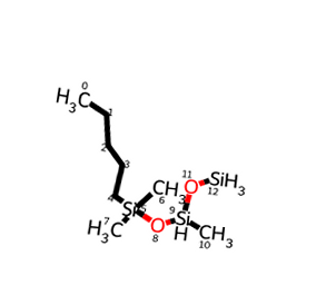 CCCCC[Si](C)(C)O[SiH](C)O[SiH3]